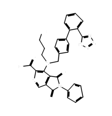 CCCCN(Cc1ccc(-c2ccccc2-c2nnn[nH]2)cc1)c1c(C(=O)O)ncc2c1C(=O)N(c1ccccc1)C2=O